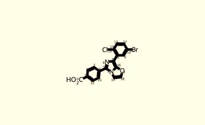 O=C(O)c1ccc(-c2nc(-c3cc(Br)ccc3Cl)c3occn23)cc1